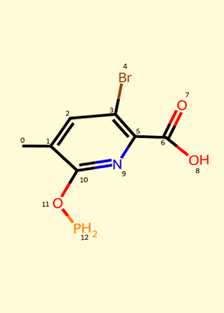 Cc1cc(Br)c(C(=O)O)nc1OP